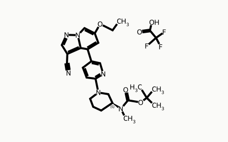 CCOc1cc(-c2ccc(N3CCC[C@H](N(C)C(=O)OC(C)(C)C)C3)nc2)c2c(C#N)cnn2c1.O=C(O)C(F)(F)F